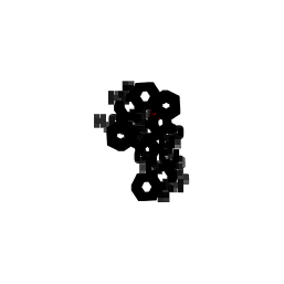 CC1(C)CN[C@H]2CCCC[C@H]2N1OC(=O)C(O)(C(=O)c1ccccc1)C(O)(C(=O)ON1[C@@H]2CCCC[C@@H]2NCC1(C)C)C(=O)c1ccccc1